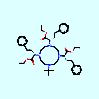 CCOC(=O)[C@H](CCc1ccccc1)N1CCN([C@@H](CCc2ccccc2)C(=O)OCC)CCN(C(C)(C)C)CCN([C@@H](CCc2ccccc2)C(=O)OCC)CC1